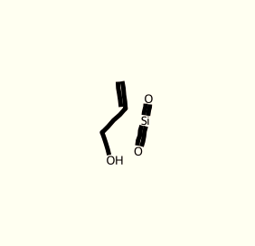 C=CCO.O=[Si]=O